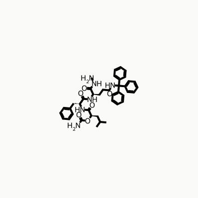 CC(C)C[C@@H](OC(N)=O)C(=O)N[C@H](Cc1ccccc1)C(=O)N[C@H](CCC(=O)NC(c1ccccc1)(c1ccccc1)c1ccccc1)C(=O)NN